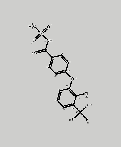 CS(=O)(=O)NC(=O)c1ccc(Oc2cccc(C(F)(F)F)c2Cl)cc1